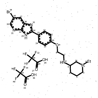 CCN1CCCC(NCCOc2ccc(-c3nc4cc(Br)cnc4[nH]3)cc2)C1.O=C(O)C(F)(F)F.O=C(O)C(F)(F)F